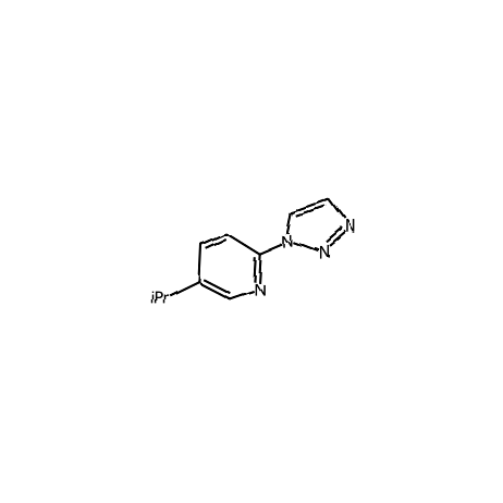 CC(C)c1ccc(-n2ccnn2)nc1